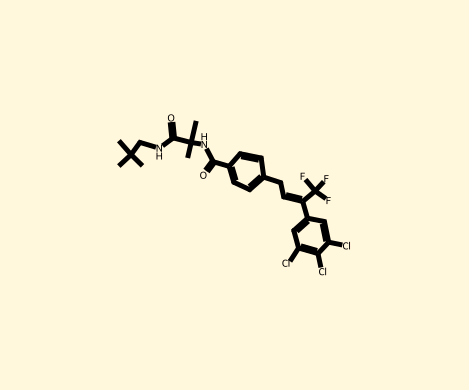 CC(C)(C)CNC(=O)C(C)(C)NC(=O)c1ccc(CC=C(c2cc(Cl)c(Cl)c(Cl)c2)C(F)(F)F)cc1